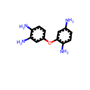 Nc1ccc(N)c(Oc2ccc(N)c(N)c2)c1